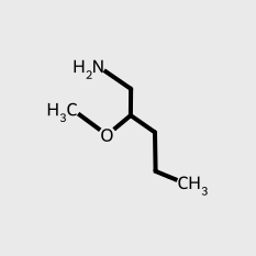 CCCC(CN)OC